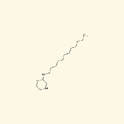 CCCCCCCCCCCCNC1CNCCO1